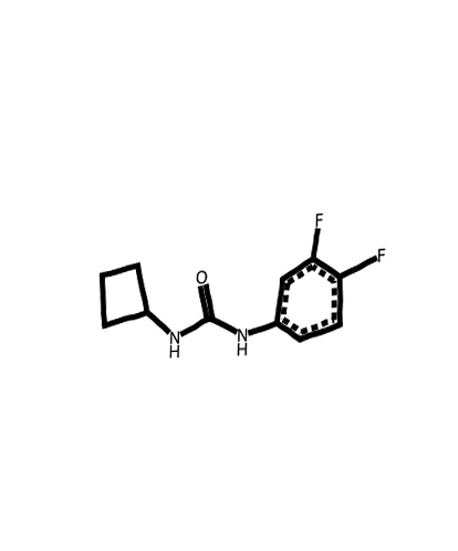 O=C(Nc1ccc(F)c(F)c1)NC1CCC1